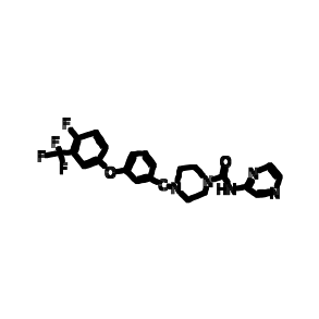 O=C(Nc1cnccn1)N1CCN(Cc2cccc(Oc3ccc(F)c(C(F)(F)F)c3)c2)CC1